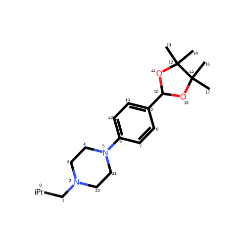 CC(C)CN1CCN(c2ccc(C3OC(C)(C)C(C)(C)O3)cc2)CC1